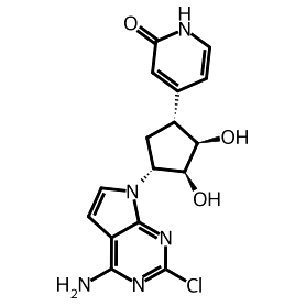 Nc1nc(Cl)nc2c1ccn2[C@@H]1C[C@H](c2cc[nH]c(=O)c2)[C@@H](O)[C@H]1O